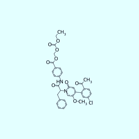 CCOC(=O)OCOC(=O)c1ccc(NC(=O)C(Cc2ccccc2)n2cc(OC)c(-c3cc(Cl)ccc3C(C)=O)cc2=O)cc1